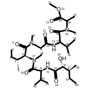 CC[C@@H](C)[C@@H](C(=O)N(C)CC(=O)NC(C(=O)N(C)C(C)C(=O)OC)C(C)C)N(C)C(=O)[C@@H](NC(=O)[C@H](O)[C@@H](C)CC)C(C)C